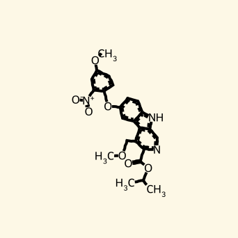 COCc1c(C(=O)OC(C)C)ncc2[nH]c3ccc(Oc4ccc(OC)cc4[N+](=O)[O-])cc3c12